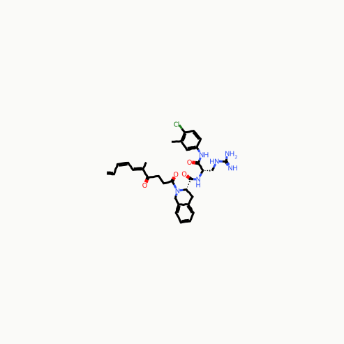 C=C/C=C\C=C(/C)C(=O)CCC(=O)N1Cc2ccccc2C[C@H]1C(=O)N[C@@H](CNC(=N)N)C(=O)Nc1ccc(Cl)c(C)c1